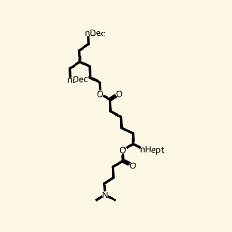 CCCCCCCCCCCCC(CCCCCCCCCCC)CCCOC(=O)CCCCC(CCCCCCC)OC(=O)CCCN(C)C